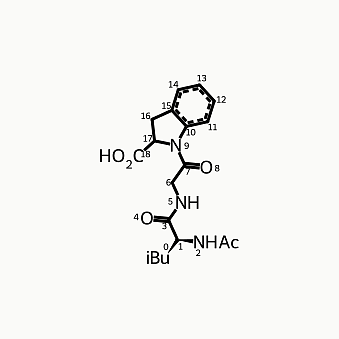 CC[C@H](C)[C@H](NC(C)=O)C(=O)NCC(=O)N1c2ccccc2CC1C(=O)O